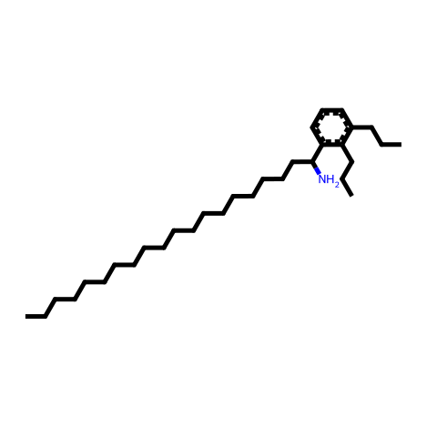 CCCCCCCCCCCCCCCCCCCC(N)c1cccc(CCC)c1CCC